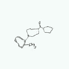 Cc1ccccc1N1CCC(C(=O)N2CCCC2)CC1